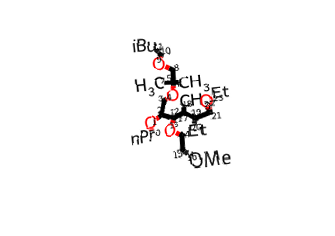 CCCOC(COC(C)(C)COCC(C)CC)C(OCCOC)C(C)C(CC)COCC